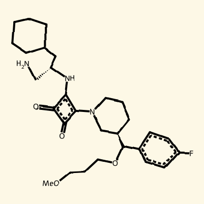 COCCCOC(c1ccc(F)cc1)[C@@H]1CCCN(c2c(N[C@H](CN)CC3CCCCC3)c(=O)c2=O)C1